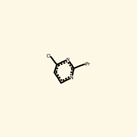 CC(C)c1nccc(Cl)n1